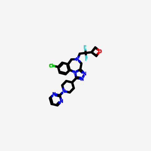 FC(F)(CN1Cc2cc(Cl)ccc2-n2c(nnc2C2CCN(c3ncccn3)CC2)C1)C1COC1